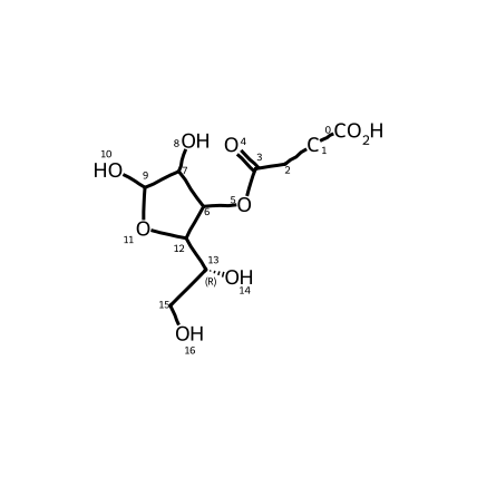 O=C(O)CCC(=O)OC1C(O)C(O)OC1[C@H](O)CO